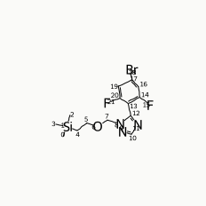 C[Si](C)(C)CCOCn1ncnc1-c1c(F)cc(Br)cc1F